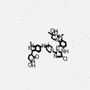 C[C@@H]1CN(c2ncc(Cl)c(Nc3ccc4c(c3F)n(CCC(C)(C)O)c(=O)n4C)n2)CC[C@@H]1Nc1ccc2c(C3CCC(=O)NC3=O)nn(C)c2c1